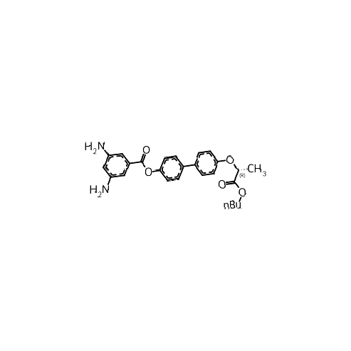 CCCCOC(=O)[C@@H](C)Oc1ccc(-c2ccc(OC(=O)c3cc(N)cc(N)c3)cc2)cc1